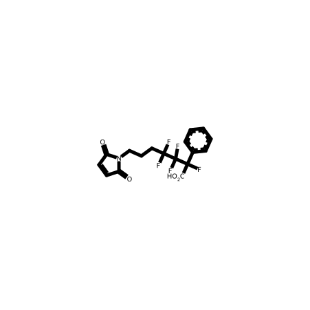 O=C1C=CC(=O)N1CCCC(F)(F)C(F)(F)C(F)(C(=O)O)c1ccccc1